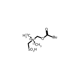 CCC(C)C(=O)OC[15N+]([13CH3])([13CH3])CS(=O)(=O)O